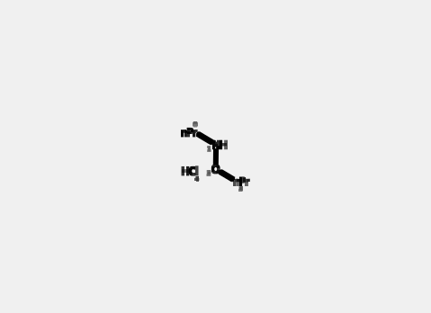 CCCNOCCC.Cl